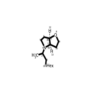 CCCCCCCC(C)N1CC[C@H]2OCC[C@H]21